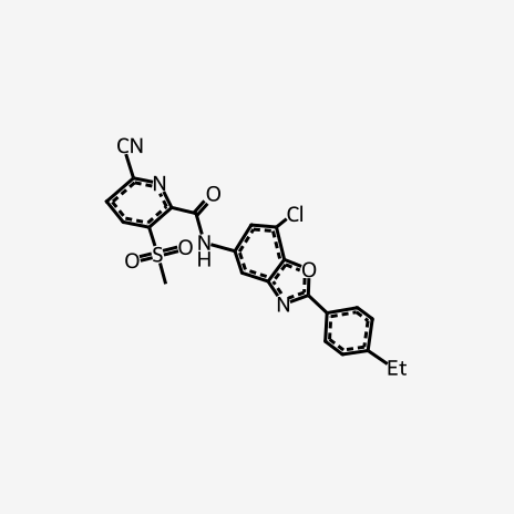 CCc1ccc(-c2nc3cc(NC(=O)c4nc(C#N)ccc4S(C)(=O)=O)cc(Cl)c3o2)cc1